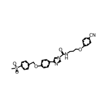 CS(=O)(=O)c1ccc(COc2ccc(-c3cn(C(=O)NCCCOc4ccc(C#N)cc4)cn3)cc2)cc1